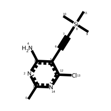 Cc1nc(N)c(C#C[Si](C)(C)C)c(Cl)n1